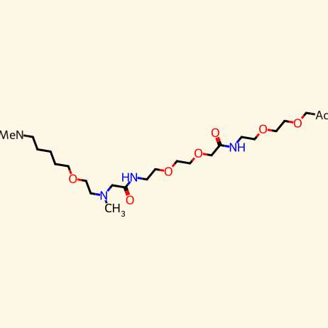 CNCCCCCOCCN(C)CC(=O)NCCOCCOCC(=O)NCCOCCOCC(C)=O